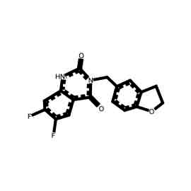 O=c1[nH]c2cc(F)c(F)cc2c(=O)n1Cc1ccc2c(c1)CCO2